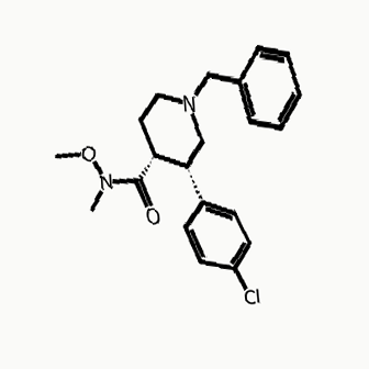 CON(C)C(=O)[C@@H]1CCN(Cc2ccccc2)C[C@@H]1c1ccc(Cl)cc1